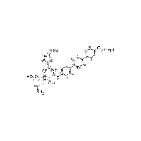 CCCCCCCOc1ccc(-c2cnc(-c3ccc(C[C@H](NC(=O)c4ccc(C(C)(C)C)s4)C(O)N[C@H](CCN)C(=O)O)cc3)nc2)cc1